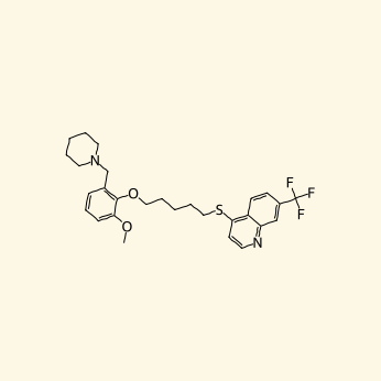 COc1cccc(CN2CCCCC2)c1OCCCCCSc1ccnc2cc(C(F)(F)F)ccc12